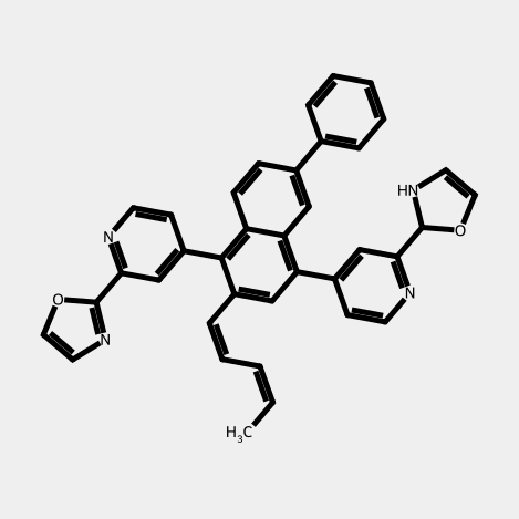 C/C=C\C=C/c1cc(-c2ccnc(C3NC=CO3)c2)c2cc(-c3ccccc3)ccc2c1-c1ccnc(-c2ncco2)c1